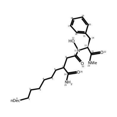 CCCCCCCCCCCCCCCCC(CC(=O)N(O)[C@@H](Cc1ccccc1)C(=O)NC)C(N)=O